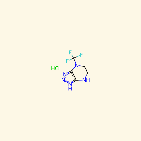 Cl.FC(F)(F)N1CCNc2[nH]nnc21